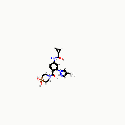 O=C(Nc1ccc(C(=O)N2CCS(=O)(=O)CC2)c(-n2cc(C(F)(F)F)cn2)c1)C1CC1